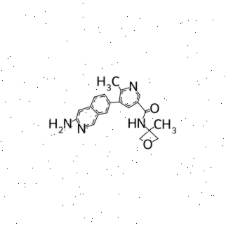 Cc1ncc(C(=O)NC2(C)COC2)cc1-c1ccc2cc(N)ncc2c1